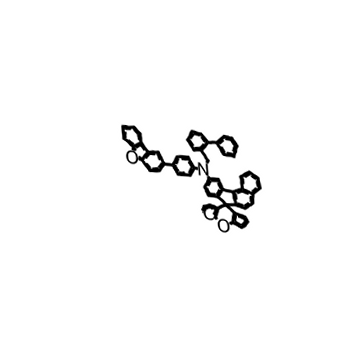 c1ccc(-c2ccccc2CN(c2ccc(-c3ccc4oc5ccccc5c4c3)cc2)c2ccc3c(c2)-c2c(ccc4ccccc24)C32c3ccccc3Oc3ccccc32)cc1